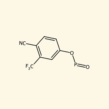 N#Cc1ccc(OP=O)cc1C(F)(F)F